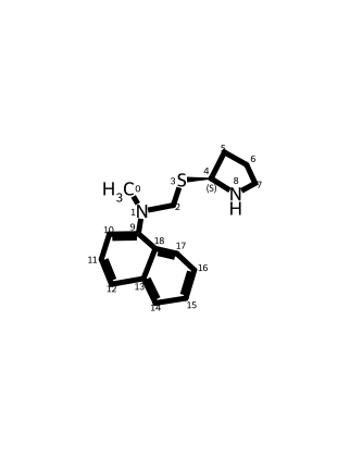 CN(CS[C@H]1CCCN1)c1cccc2ccccc12